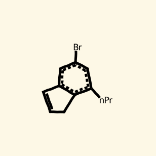 CCCc1cc(Br)cc2c1CC=C2